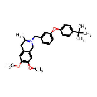 COc1cc2c(cc1OC)CN(Cc1cccc(Oc3ccc(C(C)(C)C)cc3)c1)C(C)C2